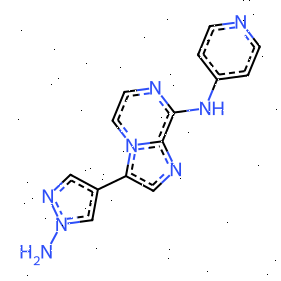 Nn1cc(-c2cnc3c(Nc4ccncc4)nccn23)cn1